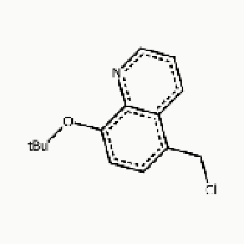 CC(C)(C)Oc1ccc(CCl)c2cccnc12